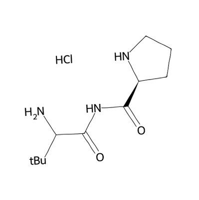 CC(C)(C)C(N)C(=O)NC(=O)[C@@H]1CCCN1.Cl